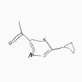 CC(=O)c1ncc(C2CC2)s1